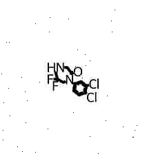 O=C1CNCC(F)(F)CN1c1ccc(Cl)c(Cl)c1